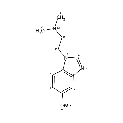 COc1ccc2c(c1)ncn2CCN(C)C